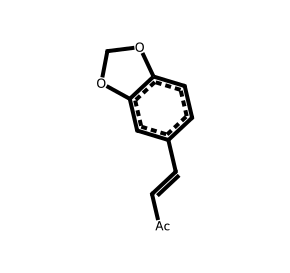 CC(=O)C=Cc1ccc2c(c1)OCO2